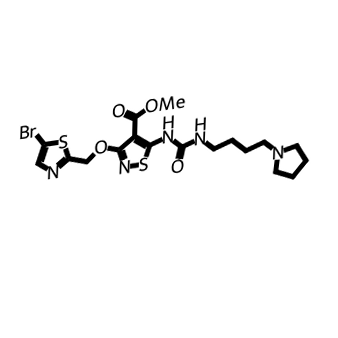 COC(=O)c1c(OCc2ncc(Br)s2)nsc1NC(=O)NCCCCN1CCCC1